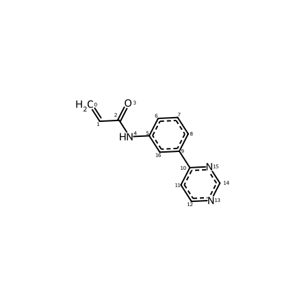 C=CC(=O)Nc1cccc(-c2ccncn2)c1